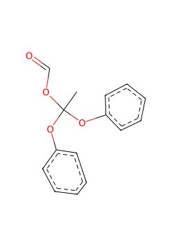 CC(OC=O)(Oc1ccccc1)Oc1ccccc1